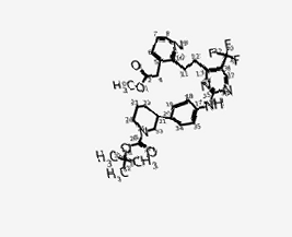 COC(=O)Cc1cccnc1CCc1nc(Nc2ccc(C3CCCN(C(=O)OC(C)(C)C)C3)cc2)ncc1C(F)(F)F